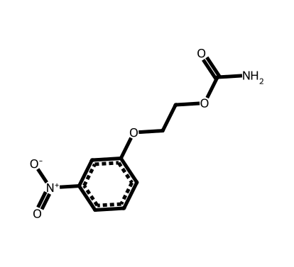 NC(=O)OCCOc1cccc([N+](=O)[O-])c1